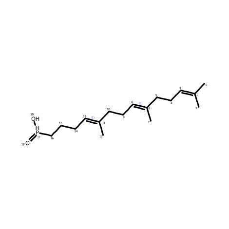 CC(C)=CCC/C(C)=C/CC/C(C)=C/CCC[PH](=O)O